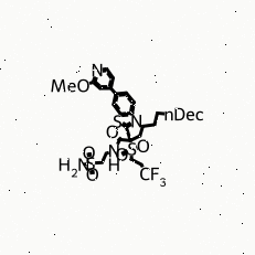 CCCCCCCCCCCCCCC(C(=O)NCCS(N)(=O)=O)(c1nc2ccc(-c3ccnc(OC)c3)cc2s1)S(=O)(=O)CCC(F)(F)F